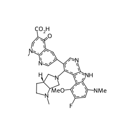 CNc1cc(F)c(OC)c2c1[nH]c1ncc(-c3cnc4c(c3)c(=O)c(C(=O)O)cn4C)c(N3CC4[C@H](CCN4C)C3)c12